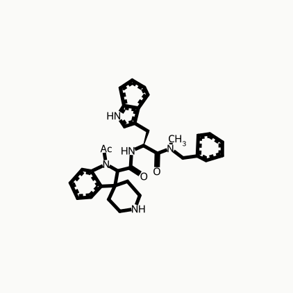 CC(=O)N1c2ccccc2C2(CCNCC2)C1C(=O)N[C@@H](Cc1c[nH]c2ccccc12)C(=O)N(C)Cc1ccccc1